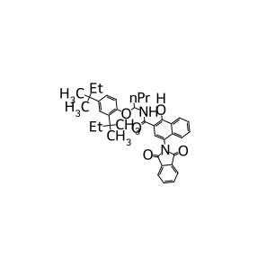 CCCC(NC(=O)c1cc(N2C(=O)c3ccccc3C2=O)c2ccccc2c1O)Oc1ccc(C(C)(C)CC)cc1C(C)(C)CC